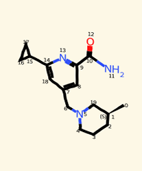 C[C@H]1CCCN(Cc2cc(C(N)=O)nc(C3CC3)c2)C1